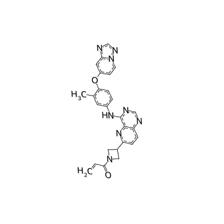 C=CC(=O)N1CC(c2ccc3ncnc(Nc4ccc(Oc5ccn6ncnc6c5)c(C)c4)c3n2)C1